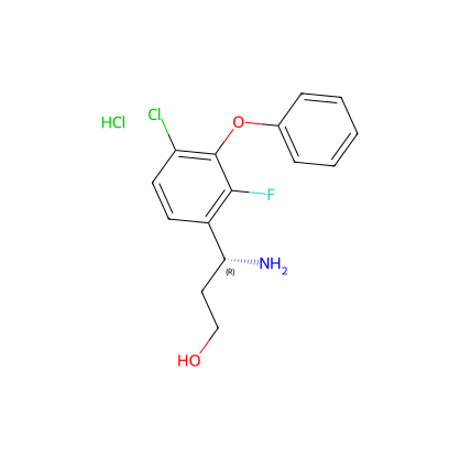 Cl.N[C@H](CCO)c1ccc(Cl)c(Oc2ccccc2)c1F